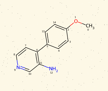 COc1ccc(-c2ccncc2N)cc1